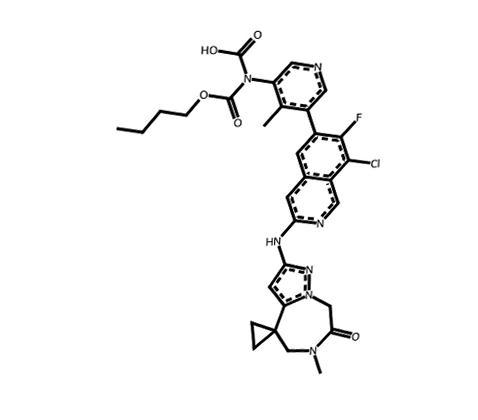 CCCCOC(=O)N(C(=O)O)c1cncc(-c2cc3cc(Nc4cc5n(n4)CC(=O)N(C)CC54CC4)ncc3c(Cl)c2F)c1C